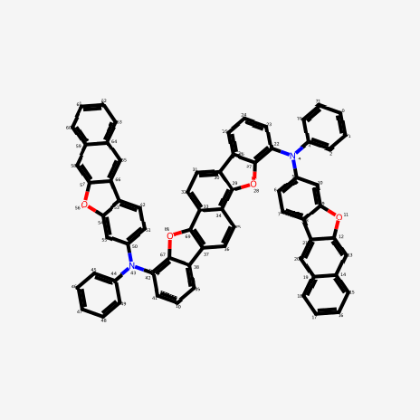 c1ccc(N(c2ccc3c(c2)oc2cc4ccccc4cc23)c2cccc3c2oc2c3ccc3c2ccc2c4cccc(N(c5ccccc5)c5ccc6c(c5)oc5cc7ccccc7cc56)c4oc23)cc1